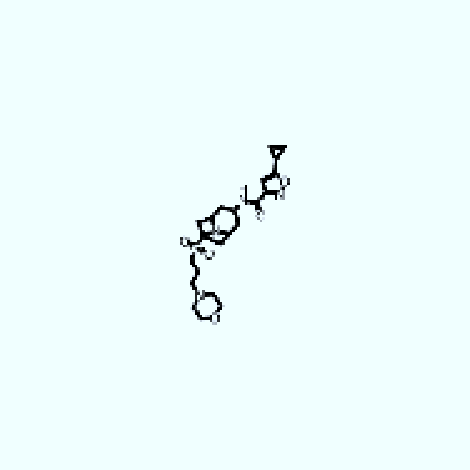 O=C(NC1CC2CC3(S(=O)(=O)CCCN4CCOCC4)CC(C1)N23)c1cc(C2CC2)on1